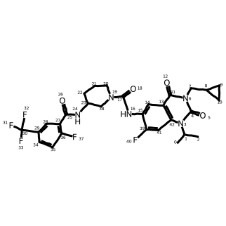 CC(C)n1c(=O)n(CC2CC2)c(=O)c2cc(NC(=O)N3CCCC(NC(=O)c4cc(C(F)(F)F)ccc4F)C3)c(F)cc21